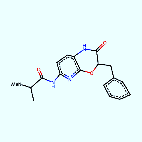 CNC(C)C(=O)Nc1ccc2c(n1)OC(Cc1ccccc1)C(=O)N2